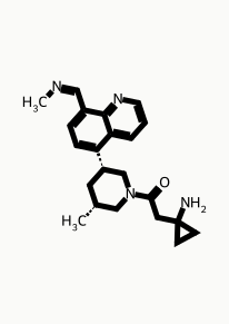 C/N=C\c1ccc([C@H]2C[C@@H](C)CN(C(=O)CC3(N)CC3)C2)c2cccnc12